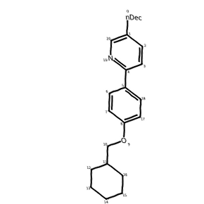 CCCCCCCCCCc1ccc(-c2ccc(OCC3CC[CH]CC3)cc2)nc1